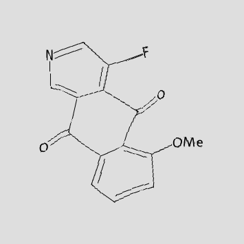 COc1cccc2c1C(=O)c1c(F)cncc1C2=O